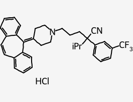 CC(C)C(C#N)(CCCN1CCC(=C2c3ccccc3C=Cc3ccccc32)CC1)c1cccc(C(F)(F)F)c1.Cl